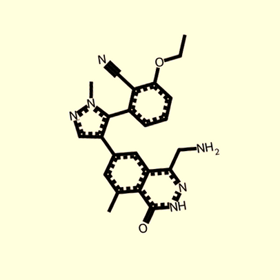 CCOc1cccc(-c2c(-c3cc(C)c4c(=O)[nH]nc(CN)c4c3)cnn2C)c1C#N